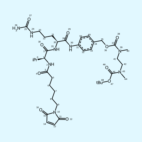 CC(C)[C@H](NC(=O)CCCCCN1C(=O)C=CC1=O)C(=O)N[C@@H](CCCNC(N)=O)C(=O)Nc1ccc(COC(=O)N(C)CCN(C)C(=O)OC(C)(C)C)cc1